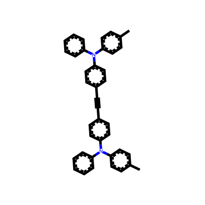 Cc1ccc(N(c2ccccc2)c2ccc(C#Cc3ccc(N(c4ccccc4)c4ccc(C)cc4)cc3)cc2)cc1